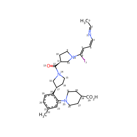 C/C=N/C=C\C=C(/I)N1CC[C@H](C(=O)N2CC[C@@H](c3ccc(C)cc3N3CCC(C(=O)O)CC3)C2)C1